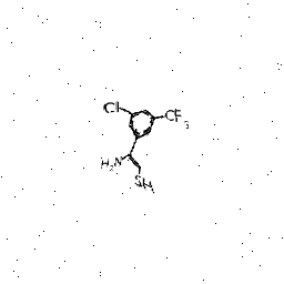 N/C(=C\S)c1cc(Cl)cc(C(F)(F)F)c1